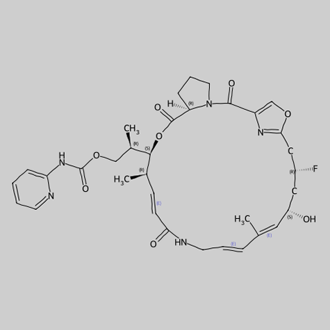 CC1=C\[C@@H](O)C[C@@H](F)Cc2nc(co2)C(=O)N2CCC[C@@H]2C(=O)O[C@H]([C@H](C)COC(=O)Nc2ccccn2)[C@H](C)/C=C/C(=O)NC\C=C\1